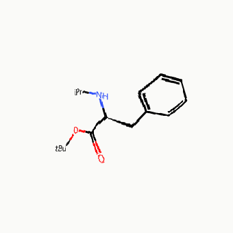 CC(C)N[C@@H](Cc1ccccc1)C(=O)OC(C)(C)C